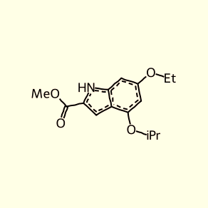 CCOc1cc(OC(C)C)c2cc(C(=O)OC)[nH]c2c1